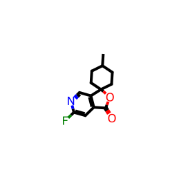 CC1CCC2(CC1)OC(=O)c1cc(F)ncc12